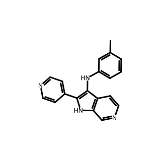 Cc1cccc(Nc2c(-c3ccncc3)[nH]c3cnccc23)c1